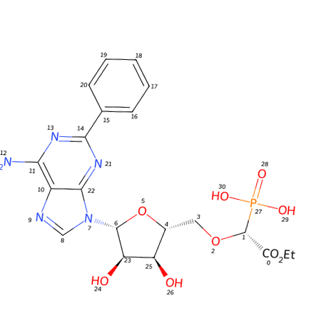 CCOC(=O)[C@H](OC[C@H]1O[C@@H](n2cnc3c(N)nc(-c4ccccc4)nc32)[C@H](O)[C@@H]1O)P(=O)(O)O